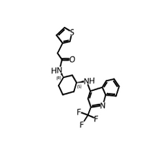 O=C(Cc1ccsc1)N[C@@H]1CCC[C@H](Nc2cc(C(F)(F)F)nc3ccccc23)C1